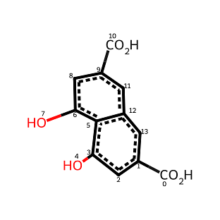 O=C(O)c1cc(O)c2c(O)cc(C(=O)O)cc2c1